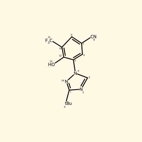 CC(C)(C)c1ncn(-c2cc(C#N)cc(C(F)(F)F)c2O)n1